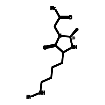 CC(C)NCCCCC1N[C@H](C)N(CC(=O)C(C)C)C1=O